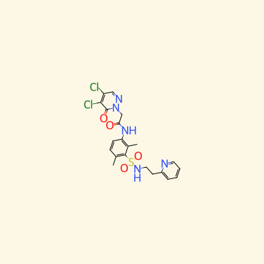 Cc1ccc(NC(=O)Cn2ncc(Cl)c(Cl)c2=O)c(C)c1S(=O)(=O)NCCc1ccccn1